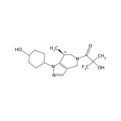 C[C@H]1CN(C(=O)C(C)(O)C(F)(F)F)Cc2cnn(C3CCC(O)CC3)c21